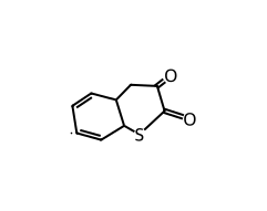 O=C1CC2C=C[C]=CC2SC1=O